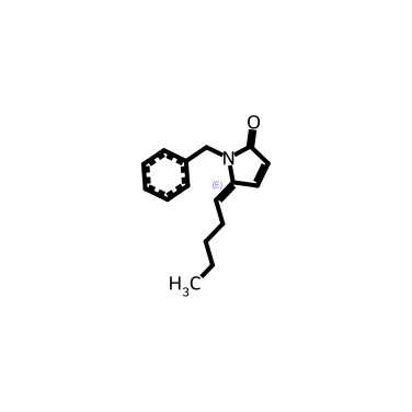 CCCC/C=C1\C=CC(=O)N1Cc1ccccc1